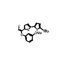 COc1cccc(OC(=CCl)c2ccc(-c3ccc(C(C)(C)C)s3)s2)c1